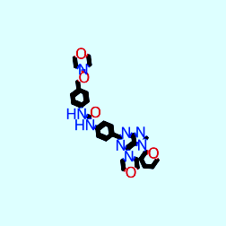 O=C(Nc1ccc(CON2CCOCC2)cc1)Nc1ccc(-c2nc(N3CCOCC3)c3c(ncn3C3CCCCO3)n2)cc1